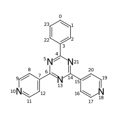 c1ccc(-c2nc(-c3ccncc3)nc(-c3ccncc3)n2)cc1